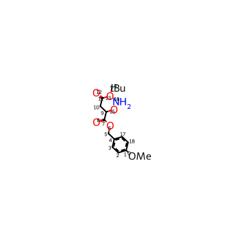 COc1ccc(COC(=O)C(CC(=O)OC(C)(C)C)ON)cc1